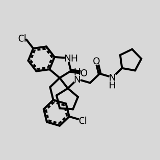 O=C(CNC1(C2(Cc3cccc(Cl)c3)C(=O)Nc3cc(Cl)ccc32)CCCC1)NC1CCCC1